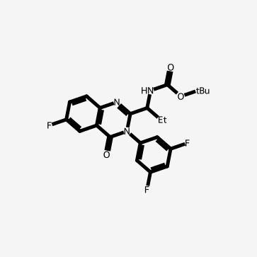 CCC(NC(=O)OC(C)(C)C)c1nc2ccc(F)cc2c(=O)n1-c1cc(F)cc(F)c1